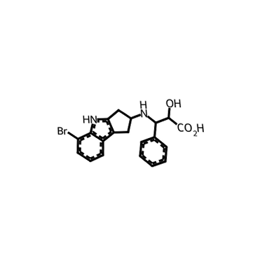 O=C(O)C(O)C(NC1Cc2[nH]c3c(Br)cccc3c2C1)c1ccccc1